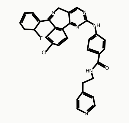 O=C(NCCc1ccncc1)c1ccc(Nc2ncc3c(n2)-c2ccc(Cl)cc2C(C2=CC=CCC2F)=NC3)cc1